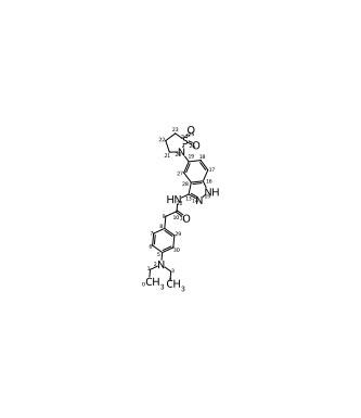 CCN(CC)c1ccc(CC(=O)Nc2n[nH]c3ccc(N4CCCS4(=O)=O)cc23)cc1